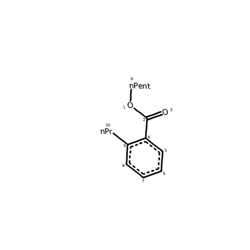 CCCCCOC(=O)c1ccccc1CCC